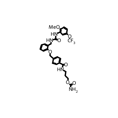 COc1ccc(OC(F)(F)F)cc1NC(=O)NCc1ccccc1OCc1ccc(C(=O)NCCCOC(N)=O)cc1